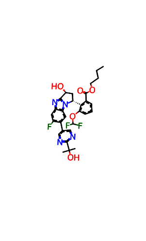 CCCCOC(=O)c1cccc(OC(F)F)c1[C@H]1C[C@H](O)c2nc3cc(F)c(-c4cnc(C(C)(C)O)nc4)cc3n21